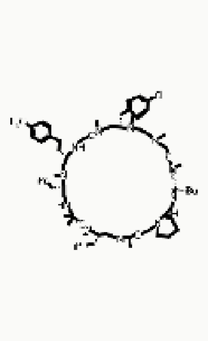 CC[C@H](C)[C@H]1CN(C)CCN(C)CCN(C)[C@@H](Cc2ccc(Cl)cc2)CN(C)CCN[C@@H](CCc2ccc(C(F)(F)F)cc2)CN(C)[C@@H](CC(C)C)CNC(C)(C)CN(C)[C@@H](CC(C)C)CN[C@H](C)CCN2CCCC[C@H]2CN1